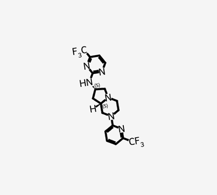 FC(F)(F)c1cccc(N2CCN3C[C@@H](Nc4nccc(C(F)(F)F)n4)C[C@H]3C2)n1